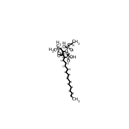 CCCCCCCCCCCCCCC(C(=O)C(C[N+](C)(C)C)OP(=O)(O)OCC)S(=O)(=O)O